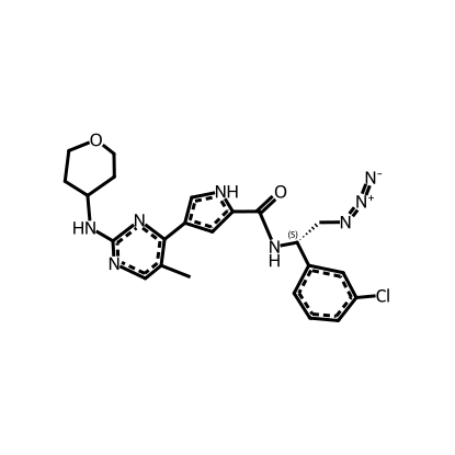 Cc1cnc(NC2CCOCC2)nc1-c1c[nH]c(C(=O)N[C@H](CN=[N+]=[N-])c2cccc(Cl)c2)c1